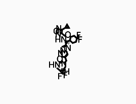 O=C(N[C@H](c1cn2ncc(CN3C[C@H]4C(CNC3=O)C4(F)F)cc2n1)C1CCC(F)(F)CC1)c1nonc1C1CC1